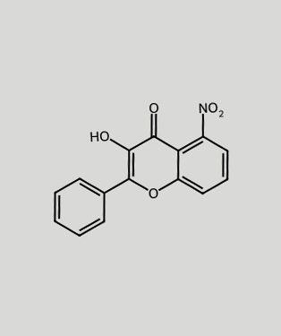 O=c1c(O)c(-c2ccccc2)oc2cccc([N+](=O)[O-])c12